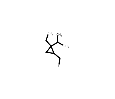 CCC1(C(C)C)CC1CF